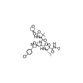 CCC[C@H](NC(=O)[C@@H]1C[C@]2(CC(c3ccc(Cl)cc3)=NO2)CN1C(=O)[C@@H](NC(=O)O[C@H]1CCOC1)C(C)(C)C)C(=O)C(=O)NC1CC1